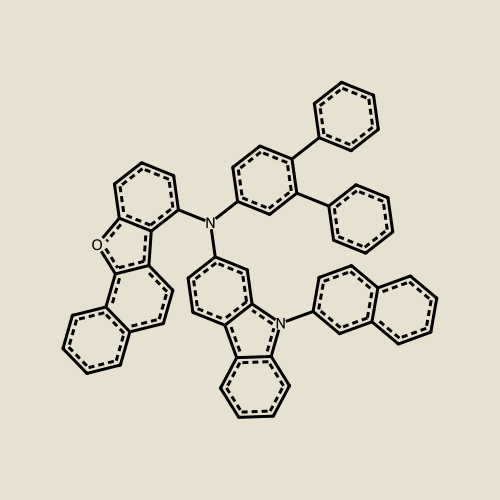 c1ccc(-c2ccc(N(c3ccc4c5ccccc5n(-c5ccc6ccccc6c5)c4c3)c3cccc4oc5c6ccccc6ccc5c34)cc2-c2ccccc2)cc1